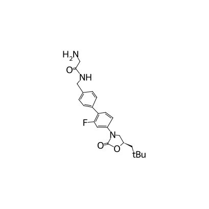 CC(C)(C)C[C@@H]1CN(c2ccc(-c3ccc(CNC(=O)CN)cc3)c(F)c2)C(=O)O1